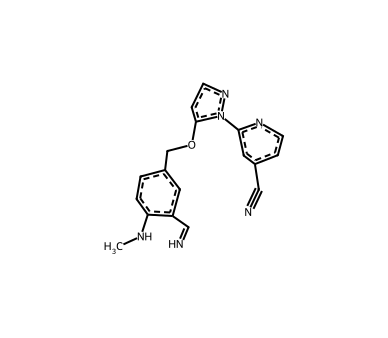 CNc1ccc(COc2ccnn2-c2cc(C#N)ccn2)cc1C=N